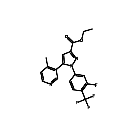 CCOC(=O)c1cc(-c2cnccc2C)n(-c2ccc(C(F)(F)F)c(F)c2)n1